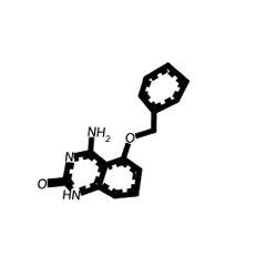 Nc1nc(=O)[nH]c2cccc(OCc3ccccc3)c12